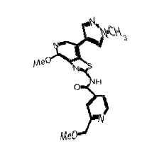 COCc1cc(C(=O)Nc2nc3c(OC)ncc(-c4cnn(C)c4)c3s2)ccn1